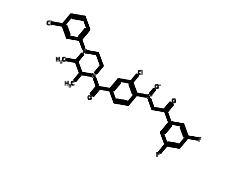 CC1C(C)N(c2cccc(Cl)c2)CCN1C(=O)c1ccc([S+]([O-])CC(=O)c2cc(F)cc(F)c2)c(Cl)c1